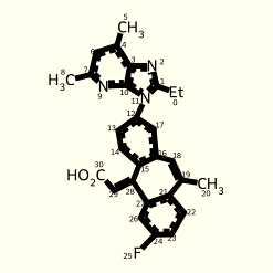 CCc1nc2c(C)cc(C)nc2n1-c1ccc2c(c1)C=C(C)c1ccc(F)cc1C2=CC(=O)O